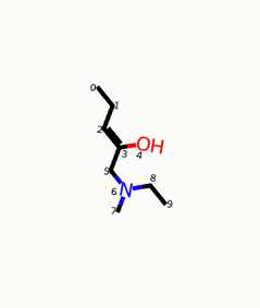 CCC=C(O)CN(C)CC